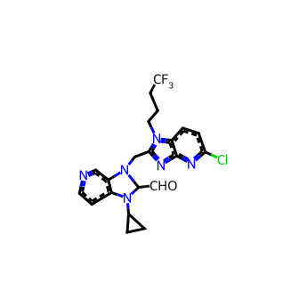 O=CC1N(Cc2nc3nc(Cl)ccc3n2CCCC(F)(F)F)c2cnccc2N1C1CC1